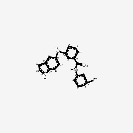 O=C(Nc1cccc(F)c1)c1cccc(Oc2ccc3[nH]ccc3c2)c1